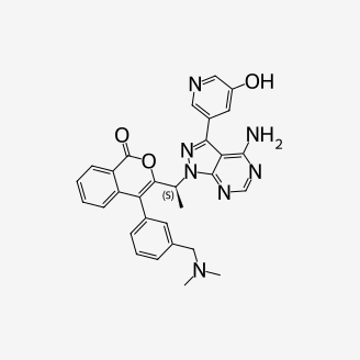 C[C@@H](c1oc(=O)c2ccccc2c1-c1cccc(CN(C)C)c1)n1nc(-c2cncc(O)c2)c2c(N)ncnc21